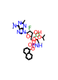 Cc1nc(N(C)C)c2ncn([C@@H]3O[C@](CCl)(CO[P@@](=O)(N[C@@H](C)C(=O)OC(C)C)Oc4cccc5ccccc45)[C@@H](O)[C@H]3F)c2n1